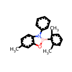 Cc1ccc2c(c1)OB(c1c(C)cccc1C)N2c1ccccc1